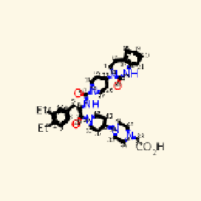 CCc1ccc(C[C@@H](NC(=O)N2CCC(N3CCc4ccccc4NC3=O)CC2)C(=O)N2CCC(N3CCN(CC(=O)O)CC3)CC2)cc1CC